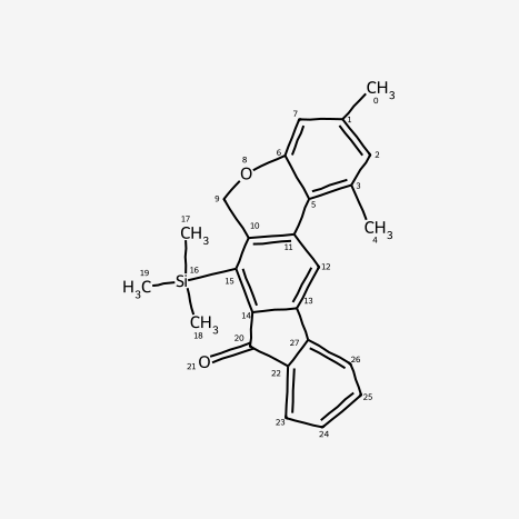 Cc1cc(C)c2c(c1)OCc1c-2cc2c(c1[Si](C)(C)C)C(=O)c1ccccc1-2